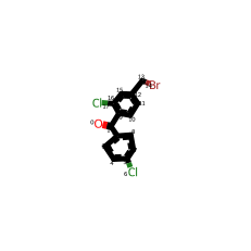 O=C(c1ccc(Cl)cc1)c1ccc(CBr)cc1Cl